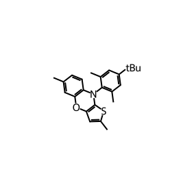 Cc1ccc2c(c1)Oc1cc(C)sc1N2c1c(C)cc(C(C)(C)C)cc1C